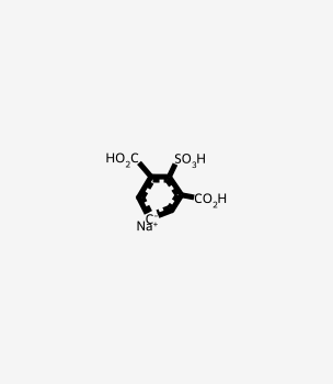 O=C(O)c1c[c-]cc(C(=O)O)c1S(=O)(=O)O.[Na+]